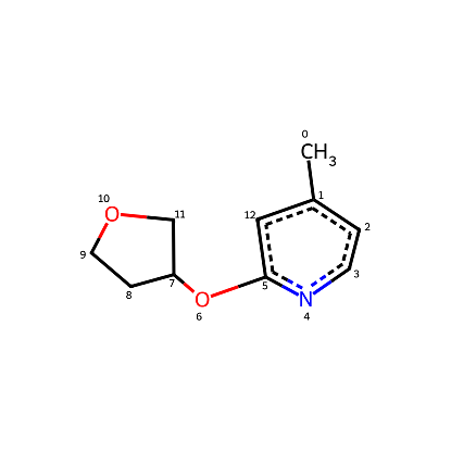 Cc1ccnc(OC2CCOC2)c1